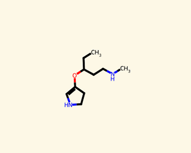 CCC(CCNC)OC1=CNCC1